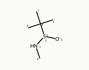 CN[S+]([O-])C(C)(C)C